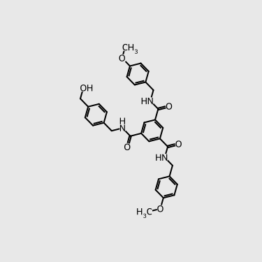 COc1ccc(CNC(=O)c2cc(C(=O)NCc3ccc(CO)cc3)cc(C(=O)NCc3ccc(OC)cc3)c2)cc1